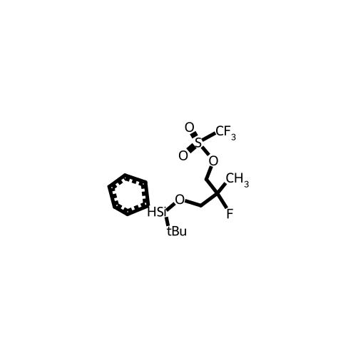 CC(F)(CO[SiH](c1ccccc1)C(C)(C)C)COS(=O)(=O)C(F)(F)F